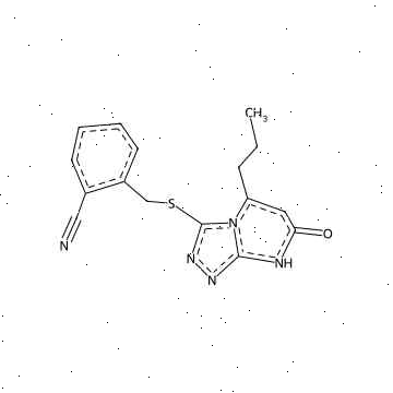 CCCc1cc(=O)[nH]c2nnc(SCc3ccccc3C#N)n12